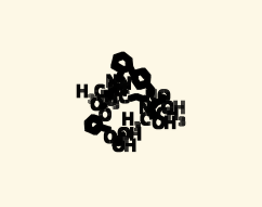 CCCc1nc(C(C)(C)O)c(C(=O)O)n1Cc1ccc(-c2ccccc2-c2nnn(C(C)OC(=O)Oc3ccccc3CON(O)O)n2)cc1